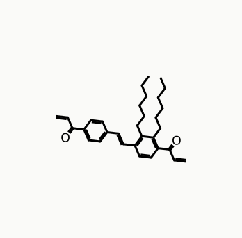 C=CC(=O)c1ccc(C=Cc2ccc(C(=O)C=C)c(CCCCCC)c2CCCCCC)cc1